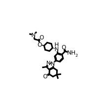 Cc1nn(-c2ccc(C(N)=O)c(N[C@H]3CC[C@H](OC(=O)CN(C)C)CC3)c2)c2c1C(=O)CC(C)(C)C2